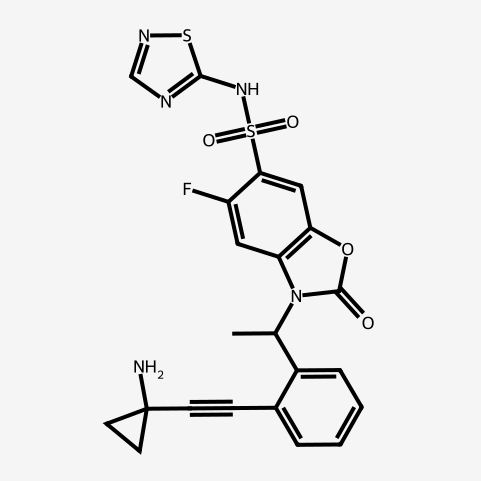 CC(c1ccccc1C#CC1(N)CC1)n1c(=O)oc2cc(S(=O)(=O)Nc3ncns3)c(F)cc21